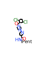 CCCC(C)NC(=O)c1ccc(N2CCN(C(=O)c3cc(Cl)ccc3Cl)CC2)nc1